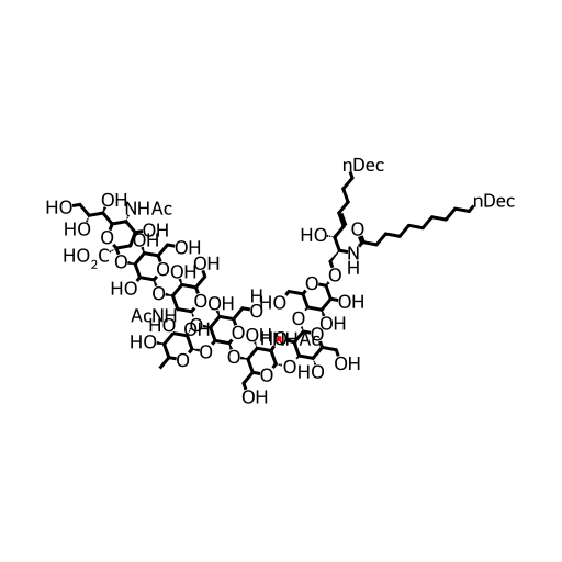 CCCCCCCCCCCCC/C=C/[C@@H](O)[C@H](CO[C@@H]1OC(CO)[C@@H](O[C@@H]2OC(CO)[C@H](O)[C@H](O[C@@H]3OC(CO)[C@@H](O[C@@H]4OC(CO)[C@H](O)[C@H](O[C@H]5OC(CO)[C@H](O)[C@H](O[C@@H]6OC(CO)[C@H](O)[C@H](O[C@]7(C(=O)O)CC(O)[C@@H](NC(C)=O)C([C@H](O)[C@H](O)CO)O7)C6O)C5NC(C)=O)C4O[C@H]4OC(C)[C@@H](O)C(O)[C@@H]4O)[C@H](O)C3NC(C)=O)C2O)[C@H](O)C1O)NC(=O)CCCCCCCCCCCCCCCCCCC